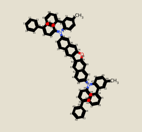 Cc1ccc(N(c2ccc(-c3ccccc3)cc2)c2ccc3cc4c(cc3c2)oc2cc3cc(N(c5ccc(-c6ccccc6)cc5)c5ccc(C)cc5-c5ccccc5)ccc3cc24)c(-c2ccccc2)c1